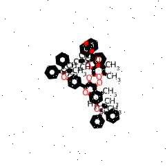 Cc1cc(O[Si](c2ccccc2)(c2ccccc2)C(C)(C)C)cc2oc(-c3ccc(O[Si](c4ccccc4)(c4ccccc4)C(C)(C)C)cc3)c(OC3OC(C)C(C)C(OCc4ccccc4)C3O[Si](c3ccccc3)(c3ccccc3)C(C)(C)C)c(=O)c12